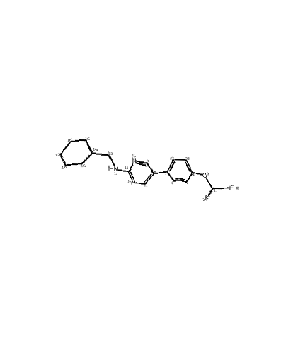 FC(F)Oc1ccc(-c2cnc(NCC3CCCCC3)nc2)cc1